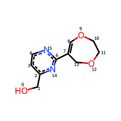 OCc1ccnc(C2=COCCOC2)n1